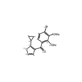 COc1c(Br)ccc(C(=O)c2cnoc2C2CC2)c1SC